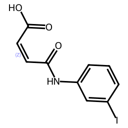 O=C(O)/C=C\C(=O)Nc1cccc(I)c1